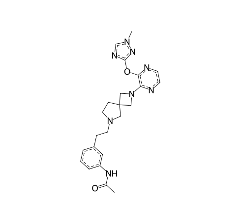 CC(=O)Nc1cccc(CCN2CCC3(C2)CN(c2nccnc2Oc2ncn(C)n2)C3)c1